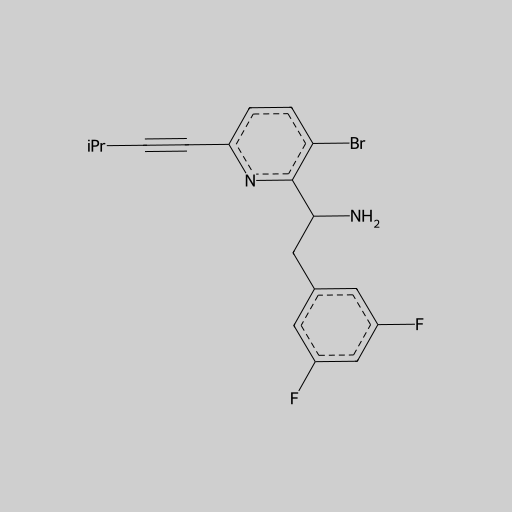 CC(C)C#Cc1ccc(Br)c(C(N)Cc2cc(F)cc(F)c2)n1